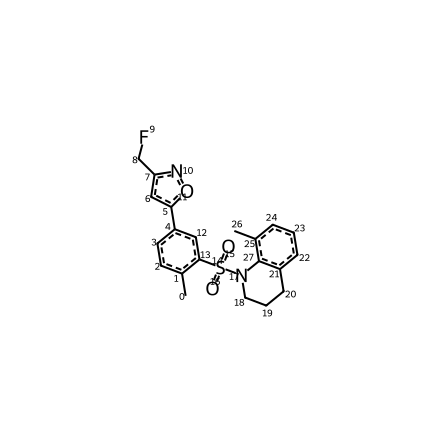 Cc1ccc(-c2cc(CF)no2)cc1S(=O)(=O)N1CCCc2cccc(C)c21